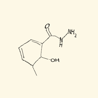 CC1C=CC=C(C(=O)NN)C1O